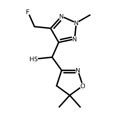 Cn1nc(CF)c(C(S)C2=NOC(C)(C)C2)n1